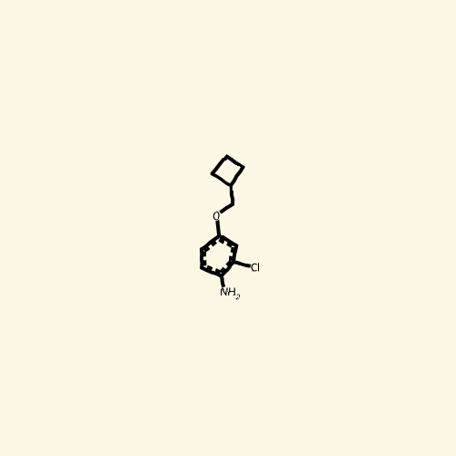 Nc1ccc(OCC2CCC2)cc1Cl